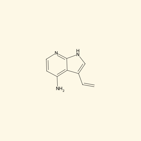 C=Cc1c[nH]c2nccc(N)c12